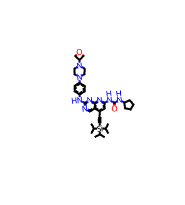 CC(C)[Si](C#Cc1cc(NC(=O)NC2CCCC2)nc2nc(Nc3ccc(N4CCN(C5COC5)CC4)cc3)ncc12)(C(C)C)C(C)C